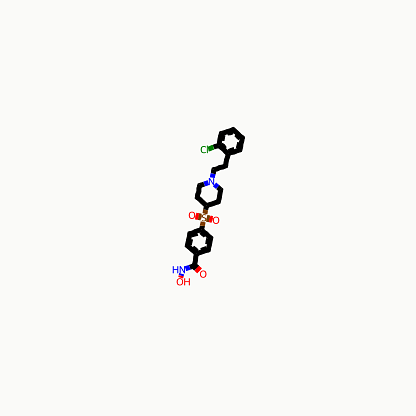 O=C(NO)c1ccc(S(=O)(=O)C2CCN(CCc3ccccc3Cl)CC2)cc1